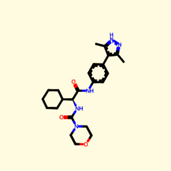 Cc1n[nH]c(C)c1-c1ccc(NC(=O)[C@@H](NC(=O)N2CCOCC2)C2CCCCC2)cc1